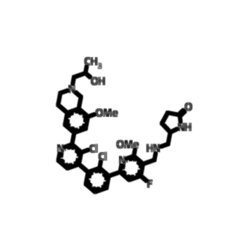 COc1cc(-c2nccc(-c3cccc(-c4cc(F)c(CNCC5CCC(=O)N5)c(OC)n4)c3Cl)c2Cl)cc2c1CN(CC(C)O)CC2